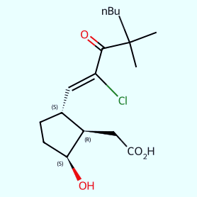 CCCCC(C)(C)C(=O)C(Cl)=C[C@H]1CC[C@H](O)[C@@H]1CC(=O)O